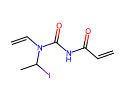 C=CC(=O)NC(=O)N(C=C)C(C)I